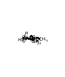 CN1CCN(C2Oc3ccc(CCCNS(=O)(=O)O)cc3C2(C)C)CC1